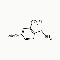 BCc1ccc(OC)cc1C(=O)OCC